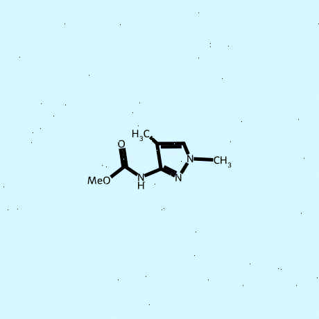 COC(=O)Nc1nn(C)cc1C